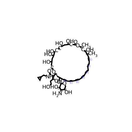 C[C@H]1C[C@H](O)[C@@H](C)/C=C/C=C/C=C/C=C/C=C/C=C/C=C/C(O[C@@H]2OC[C@@H](O)[C@H](N)[C@@H]2O)C[C@@H]([C@H](C(=O)NCC2CC2)[C@@H](O)CCO)OCCC(O)CC(O)C(O)CCC(O)CC(O)CC(=O)O1